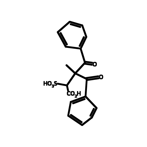 CC(C(=O)c1ccccc1)(C(=O)c1ccccc1)C(C(=O)O)S(=O)(=O)O